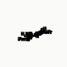 CCCC(C)Oc1nc(N)c2ncc(Cc3cnc(N4CCN(C(=O)CNCC(C)C)CC4)c(C)c3)n2n1